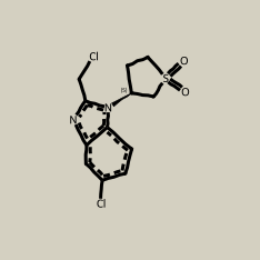 O=S1(=O)CC[C@H](n2c(CCl)nc3cc(Cl)ccc32)C1